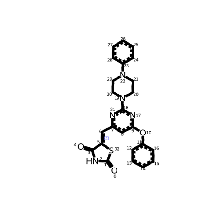 O=C1NC(=O)/C(=C/c2cc(Oc3ccccc3)nc(N3CCN(c4ccccc4)CC3)n2)S1